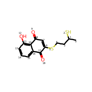 CC(S)CCSC1=CC(=O)c2c(O)cccc2C1=O